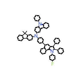 CC1(C)c2ccccc2-c2ccc(N(c3ccc(-c4cc5c(-c6ccccc6)c(-c6ccccc6)n(-c6ccc(F)cc6)c5c5ccccc45)cc3)c3ccc4c(c3)c3ccccc3n4-c3ccccc3)cc21